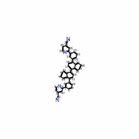 N#Cc1ccnc(-c2cccc(-c3ccc(-c4ccc(-c5cccc(-c6cc(C#N)ccn6)c5)c5ccccc45)c4ccccc34)c2)c1